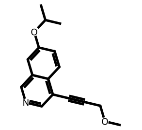 COCC#Cc1cncc2cc(OC(C)C)ccc12